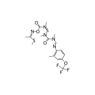 CSC(C)=NOC(=O)N(C)SN(C)C(=O)N(C)C=Nc1ccc(OC(F)(F)F)cc1C